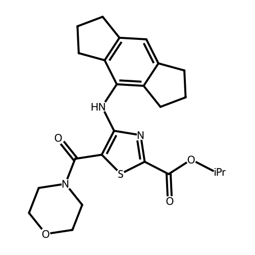 CC(C)OC(=O)c1nc(Nc2c3c(cc4c2CCC4)CCC3)c(C(=O)N2CCOCC2)s1